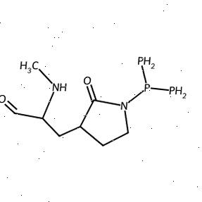 CNC(C=O)CC1CCN(P(P)P)C1=O